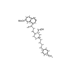 COc1ccc2nccc([C@H](F)CC[C@@H]3CCN(CCCSc4ccc(C)cc4)C[C@@H]3CO)c2c1